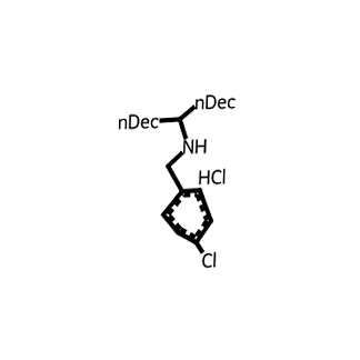 CCCCCCCCCCC(CCCCCCCCCC)NCc1ccc(Cl)cc1.Cl